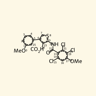 COc1cccc(-c2csc(NC(=O)c3c(Cl)cc(OC)c(Cl)c3Cl)c2C(=O)O)c1